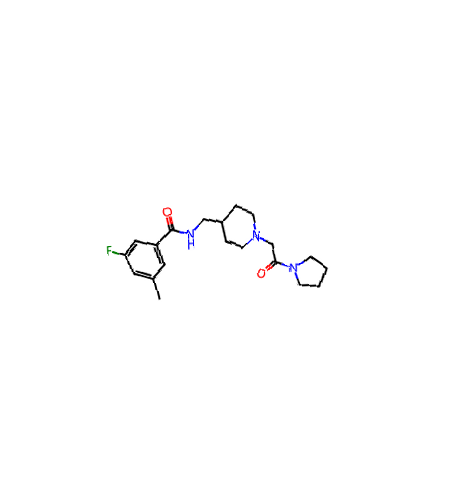 Cc1cc(F)cc(C(=O)NCC2CCN(CC(=O)N3CCCC3)CC2)c1